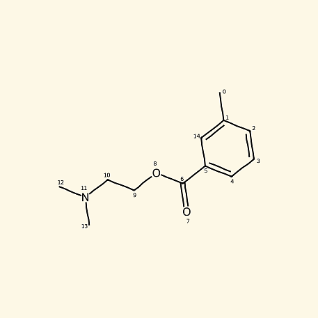 Cc1cccc(C(=O)OCCN(C)C)c1